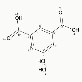 Cl.Cl.O=C(O)c1ccnc(C(=O)O)c1